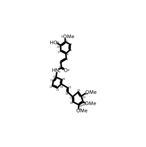 COc1ccc(/C=C/C(=O)Nc2cccc(/C=C/c3cc(OC)c(OC)c(OC)c3)c2)cc1O